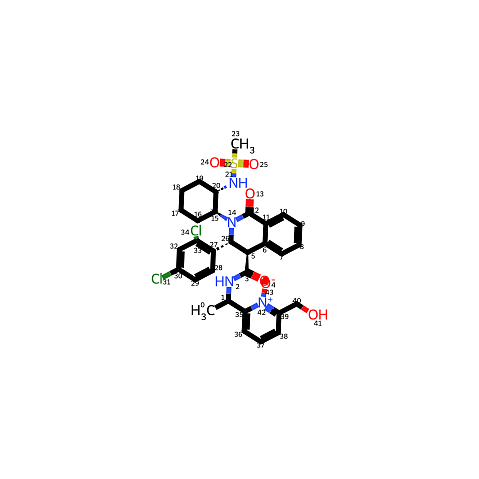 CC(NC(=O)[C@@H]1c2ccccc2C(=O)N([C@H]2CCCC[C@@H]2NS(C)(=O)=O)[C@H]1c1ccc(Cl)cc1Cl)c1cccc(CO)[n+]1[O-]